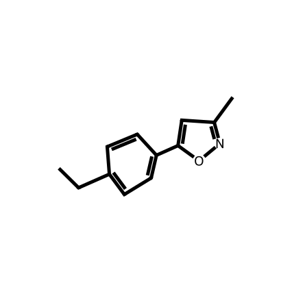 CCc1ccc(-c2cc(C)no2)cc1